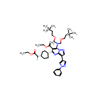 C=C(OCC)c1c(N(COCC[Si](C)(C)C)COCC[Si](C)(C)C)n2ncc(-c3cnn(-c4ccccc4)c3)c2nc1[C@H]1CC[C@@H](C(F)C(=O)OCC)CC1